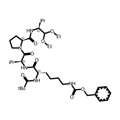 CCOC(OCC)[C@@H](NC(=O)[C@@H]1CCCN1C(=O)[C@@H](NC(=O)[C@H](CCCCNC(=O)OCc1ccccc1)NC(=O)C(C)(C)C)C(C)C)C(C)C